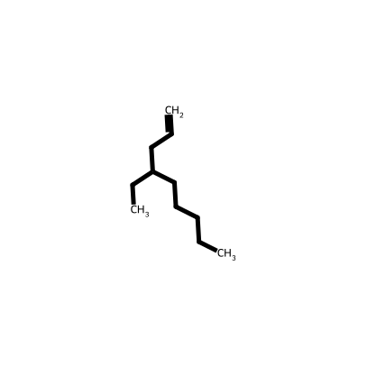 C=CCC(CC)CCCCC